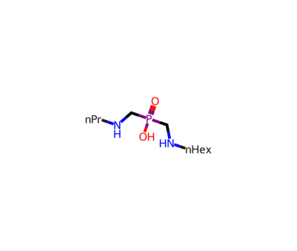 CCCCCCNCP(=O)(O)CNCCC